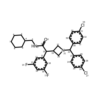 O=C(NCC1CCCCC1)C(c1cc(F)cc(F)c1)C1CN(C(c2ccc(Cl)cc2)c2ccc(Cl)cc2)C1